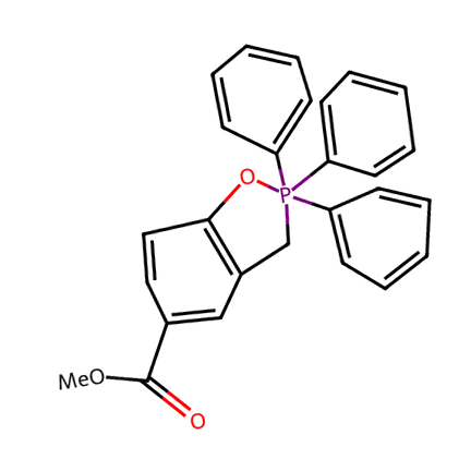 COC(=O)c1ccc2c(c1)CP(c1ccccc1)(c1ccccc1)(c1ccccc1)O2